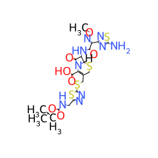 CON=C(C(=O)NC1C(=O)N2C(C(=O)O)=C(CSc3nnc(CNC(=O)OC(C)(C)C)s3)CS[C@@H]12)c1nsc(N)n1